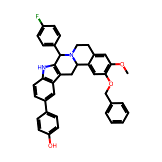 COc1cc2c(cc1OCc1ccccc1)C1Cc3c([nH]c4ccc(-c5ccc(O)cc5)cc34)C(c3ccc(F)cc3)N1CC2